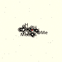 COc1ccc(CCC(O)(CC(=O)NC2C=CC3=COCC3C2=O)CC(C)(C)c2cc(F)ccc2OC)cc1